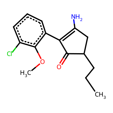 CCCC1CC(N)=C(c2cccc(Cl)c2OC)C1=O